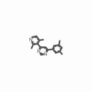 Cc1cc(C)cc(-c2cc(-c3c(C)ccnc3C)ncn2)c1